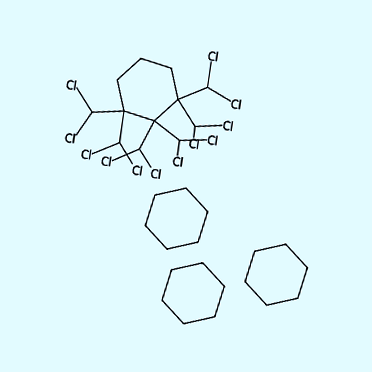 C1CCCCC1.C1CCCCC1.C1CCCCC1.ClC(Cl)C1(C(Cl)Cl)CCCC(C(Cl)Cl)(C(Cl)Cl)C1(C(Cl)Cl)C(Cl)Cl